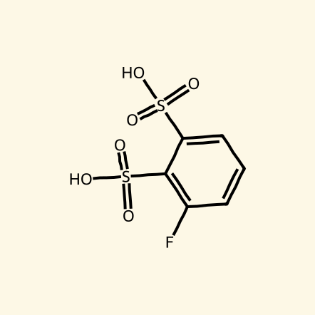 O=S(=O)(O)c1cccc(F)c1S(=O)(=O)O